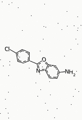 Nc1ccc2nc(-c3ccc(Cl)cc3)oc2c1